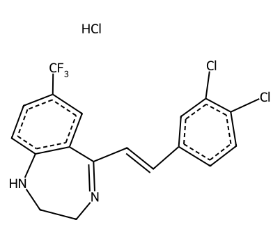 Cl.FC(F)(F)c1ccc2c(c1)C(C=Cc1ccc(Cl)c(Cl)c1)=NCCN2